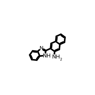 Nc1cc2ccccc2cc1-c1nc2ccccc2[nH]1